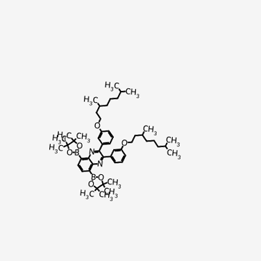 CC(C)CCCC(C)CCOc1cccc(-c2nc3c(B4OC(C)(C)C(C)(C)O4)ccc(B4OC(C)(C)C(C)(C)O4)c3nc2-c2cccc(OCCC(C)CCCC(C)C)c2)c1